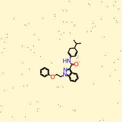 CC(C)C1C=CC(NC(=O)c2nn(CCOc3ccccc3)c3ccccc23)=CC1